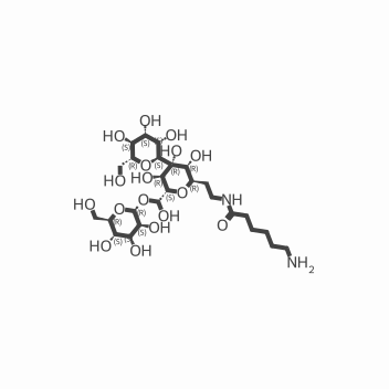 NCCCCCC(=O)NCC[C@H]1O[C@H](C(O)O[C@H]2O[C@H](CO)[C@@H](O)[C@H](O)[C@@H]2O)[C@@H](O)[C@@](O)([C@H]2O[C@H](CO)[C@@H](O)[C@H](O)[C@@H]2O)[C@@H]1O